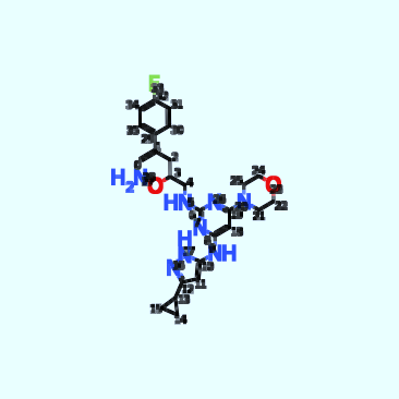 C=C(CC(CNc1nc(Nc2cc(C3CC3)n[nH]2)cc(N2CCOCC2)n1)ON)c1ccc(F)cc1